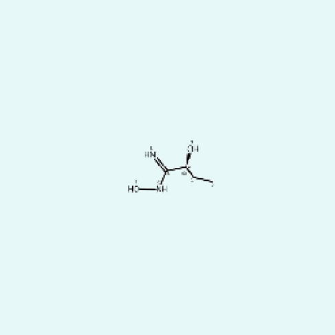 CC[C@H](O)C(=N)NO